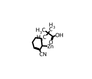 CC(C)(C)C(=O)O.N#CC1=CCCC[CH]1[Zn]